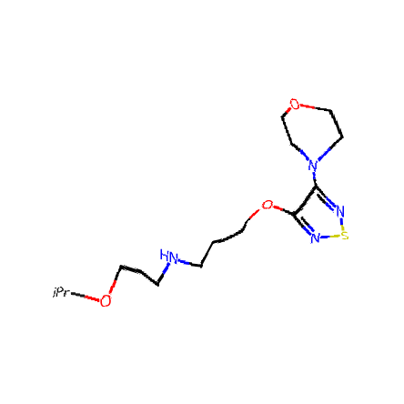 CC(C)OCCNCCCOc1nsnc1N1CCOCC1